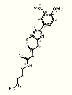 CCOCCCNC(=O)CC(=O)Cc1nc(-c2ccc(OC)c(OC)c2)oc1C